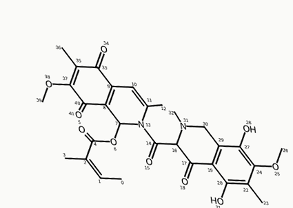 C/C=C(/C)C(=O)OC1C2=C(C=C(C)N1C(=O)C1C(=O)c3c(O)c(C)c(OC)c(O)c3CN1C)C(=O)C(C)=C(OC)C2=O